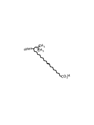 CCCCCCC(CCCCCCCCC=CCCCCCCCC(=O)O)CN(C)C